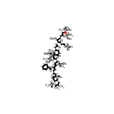 C=C(OS(=O)(=O)C(F)(F)F)C(C)C[C@H]1CC[C@@H]2O[C@@H](CCC(C=CC(O[Si](C)(C)C(C)(C)C)[C@@H]3O[C@H]4CC[C@H](CC(=O)C[C@@H]5[C@@H](OC)[C@@H](CC(CO[Si](C)(C)C(C)(C)C)O[Si](C)(C)C(C)(C)C)O[C@H]5CCO[Si](CC)(CC)CC)O[C@@H]4[C@H](O[Si](C)(C)C(C)(C)C)[C@@H]3O[Si](C)(C)C(C)(C)C)OC(=O)c3ccccc3)C[C@]2(CI)O1